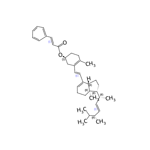 CC1=C(/C=C/C2=CCC[C@]3(C)[C@@H]([C@H](C)/C=C/[C@H](C)C(C)C)CC[C@@H]23)C[C@@H](OC(=O)/C=C/c2ccccc2)CC1